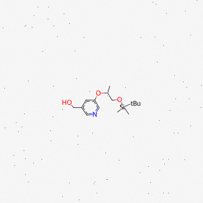 CC(CO[Si](C)(C)C(C)(C)C)Oc1cncc(CO)c1